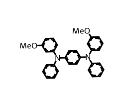 COc1cccc(N(c2ccccc2)c2ccc(N(c3ccccc3)c3cccc(OC)c3)cc2)c1